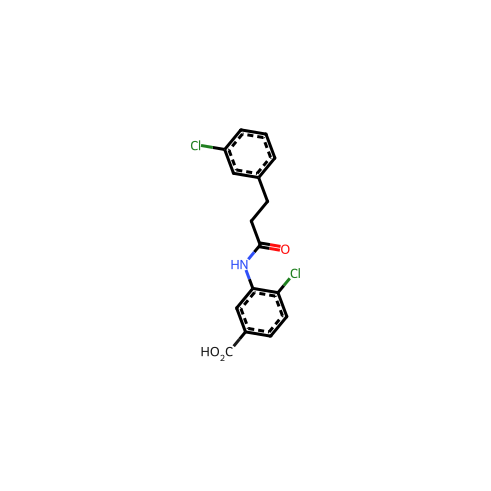 O=C(CCc1cccc(Cl)c1)Nc1cc(C(=O)O)ccc1Cl